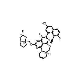 C#Cc1c(F)ccc2cc(O)cc(-c3nc4c5c(nc(OC[C@@]67CCCN6C[C@H](F)C7)nc5c3F)N3CC=CC[C@H]3CO4)c12